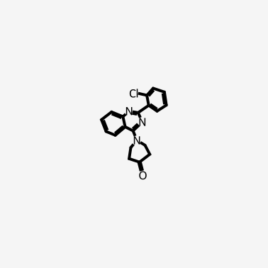 O=C1CCN(c2nc(-c3ccccc3Cl)nc3ccccc23)CC1